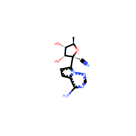 [CH2][C@H]1O[C@@](C#N)(c2ccc3c(N)ncnn23)[C@H](O)[C@@H]1O